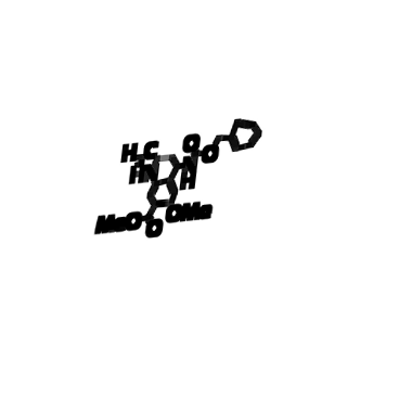 COC(=O)c1cc2c(cc1OC)[C@H](NC(=O)OCc1ccccc1)C[C@H](C)N2